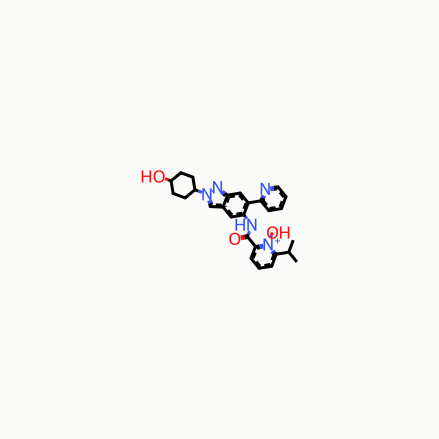 CC(C)c1cccc(C(=O)Nc2cc3cn(C4CCC(O)CC4)nc3cc2-c2ccccn2)[n+]1O